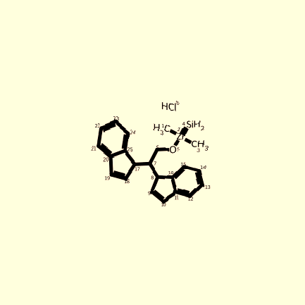 Cl.[CH3][Zr]([CH3])(=[SiH2])[O]CC(C1C=Cc2ccccc21)C1C=Cc2ccccc21